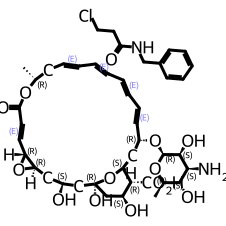 C[C@@H]1C/C=C/C=C/C=C/C=C/[C@H](O[C@@H]2O[C@H](C)[C@@H](O)[C@H](N)[C@@H]2O)C[C@@H]2O[C@](O)(C[C@@H](O)C[C@H]3O[C@@H]3/C=C/C(=O)O1)C[C@H](O)[C@H]2C(=O)O.O=C(CCCl)NCc1ccccc1